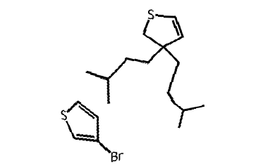 Brc1ccsc1.CC(C)CCC1(CCC(C)C)C=CSC1